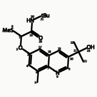 CSC(Oc1cc(C)c2ncc(C(C)(C)O)cc2c1)C(=O)NC(C)(C)C